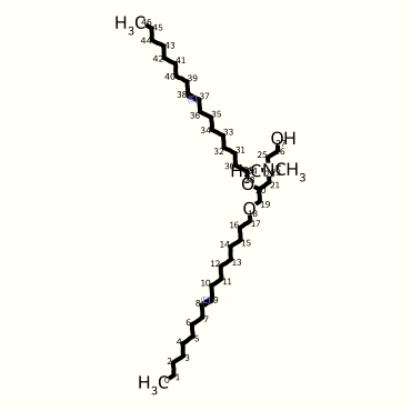 CCCCCCCC/C=C/CCCCCCCCOCC(C[N+](C)(C)CCO)OCCCCCCCC/C=C/CCCCCCCC